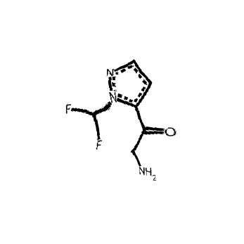 NCC(=O)c1ccnn1C(F)F